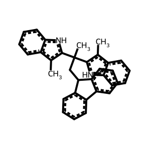 Cc1c(C(C)(CC2c3ccccc3-c3ccccc32)c2[nH]c3ccccc3c2C)[nH]c2ccccc12